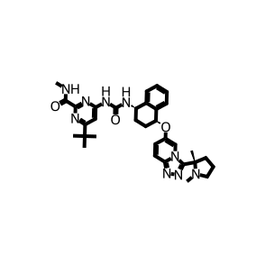 CNC(=O)c1nc(NC(=O)N[C@H]2CC[C@@H](Oc3ccc4nnc([C@]5(C)CCCN5C)n4c3)c3ccccc32)cc(C(C)(C)C)n1